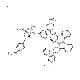 C=Cc1ccc(CC[Si](C)(C)O[Si](C)(C)CCc2ccc(C3(c4ccc(OC)cc4)C=Cc4c5c(c6ccccc6c4O3)-c3ccccc3C53CCC(c4ccccc4)(c4ccccc4)CC3)cc2)cc1